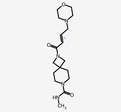 CNC(=O)N1CCC2(CC1)CN(C(=O)/C=C/CN1CCOCC1)C2